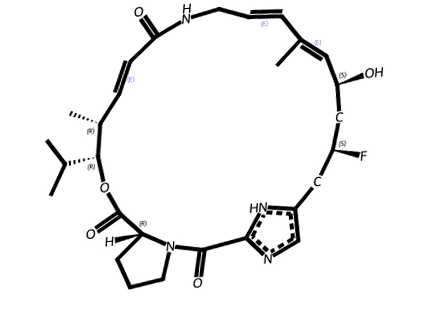 CC1=C\[C@@H](O)C[C@@H](F)Cc2cnc([nH]2)C(=O)N2CCC[C@@H]2C(=O)O[C@H](C(C)C)[C@H](C)/C=C/C(=O)NC\C=C\1